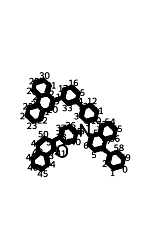 c1ccc(-c2ccc(N(c3cccc(-c4cccc(-c5cc6ccccc6c6ccccc56)c4)c3)c3ccc4c(c3)oc3c5ccccc5ccc43)c3ccccc23)cc1